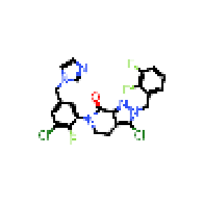 O=C1c2nn(Cc3cccc(F)c3F)c(Cl)c2CCN1c1cc(Cn2ccnc2)cc(Cl)c1F